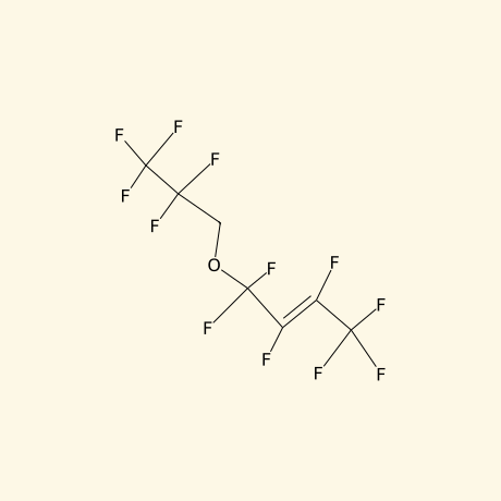 FC(=C(F)C(F)(F)OCC(F)(F)C(F)(F)F)C(F)(F)F